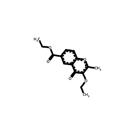 CCOC(=O)c1ccc2oc(C)c(OCC)c(=O)c2c1